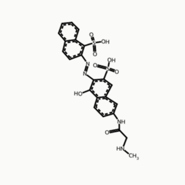 CNCC(=O)Nc1ccc2c(O)c(N=Nc3ccc4ccccc4c3S(=O)(=O)O)c(S(=O)(=O)O)cc2c1